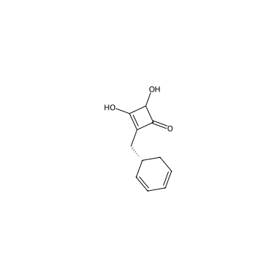 O=C1C(C[C@H]2C=CC=CC2)=C(O)C1O